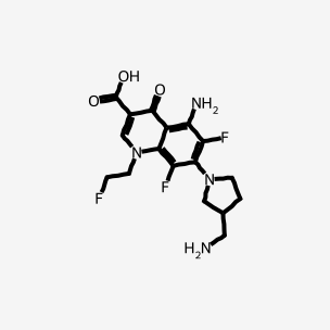 NCC1CCN(c2c(F)c(N)c3c(=O)c(C(=O)O)cn(CCF)c3c2F)C1